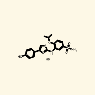 Br.CC(C)Oc1ccc(S(N)(=O)=O)cc1Nc1nc(-c2ccc(O)cc2)cs1